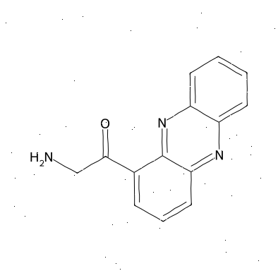 NCC(=O)c1cccc2nc3ccccc3nc12